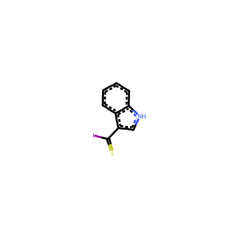 S=C(I)c1c[nH]c2ccccc12